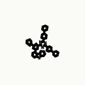 c1ccc(-c2ccc(-c3nc(-c4ccc(-c5ccccc5)cc4)nc(-c4cc(-c5ccccc5)cc(-c5cccc6sc7ccccc7c56)c4)n3)cc2)cc1